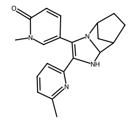 Cc1cccc(C2=C(c3ccc(=O)n(C)c3)N3C4CCC(C4)C3N2)n1